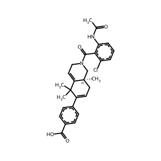 CC(=O)Nc1cccc(Cl)c1C(=O)N1CC=C2C(C)(C)C(c3ccc(C(=O)O)cc3)=CC[C@]2(C)C1